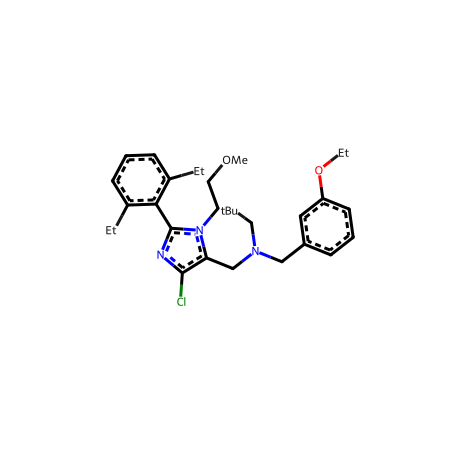 CCOc1cccc(CN(Cc2c(Cl)nc(-c3c(CC)cccc3CC)n2CCOC)CC(C)(C)C)c1